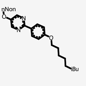 CCCCCCCCCOc1cnc(-c2ccc(OCCCCCC(C)CC)cc2)nc1